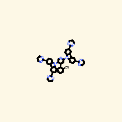 N#Cc1ccccc1-c1cc(-n2c3ccc(-c4ncccn4)cc3c3cc(-c4ncccn4)ccc32)ncc1-n1c2ccc(-c3ncccn3)cc2c2cc(-c3ncccn3)ccc21